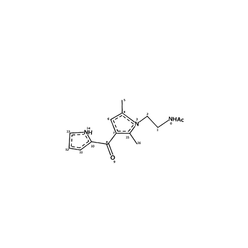 CC(=O)NCCn1c(C)cc(C(=O)c2ccc[nH]2)c1C